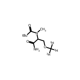 [2H]C([2H])([2H])OCC(C(N)=O)N(C)C(=O)C(C)(C)C